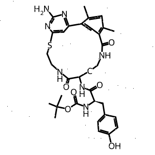 Cc1cc(C)c2cc1C(=O)NCCC(NC(=O)[C@@H](Cc1ccc(O)cc1)NC(=O)OC(C)(C)C)C(=O)NCCSc1cc-2nc(N)n1